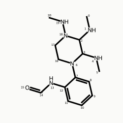 CNC1C(NC)N(c2ccccc2N[C]=O)CCN1NC